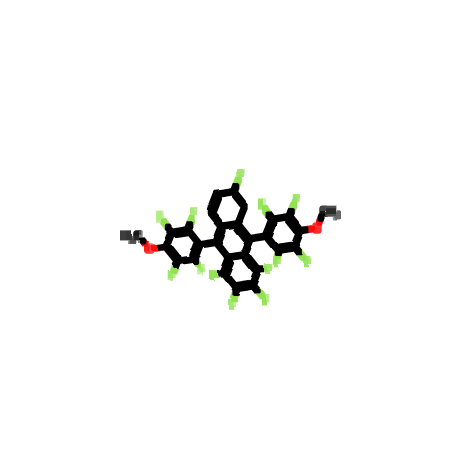 COc1c(F)c(F)c(-c2c3c(c(-c4c(F)c(F)c(OC)c(F)c4F)c4c(F)c(F)c(F)c(F)c24)CC(F)C=C3)c(F)c1F